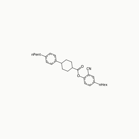 CCCCCCc1ccc(OC(=O)C2CCC(c3ccc(CCCCC)cc3)CC2)c(C#N)c1